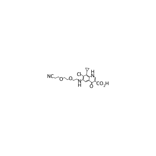 N#CCCOCCOCCNc1cc2c(=O)c(C(=O)O)c[nH]c2c(C2CC2)c1Cl